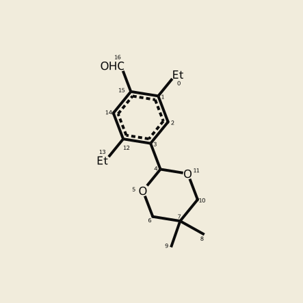 CCc1cc(C2OCC(C)(C)CO2)c(CC)cc1C=O